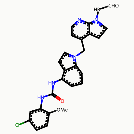 COc1ccc(Cl)cc1NC(=O)Nc1cccc2c1ccn2Cc1ccnc2c1ccn2BC=O